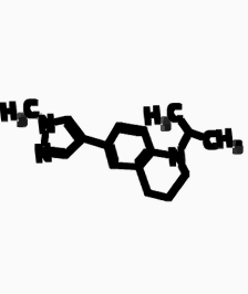 CC(C)N1CCCc2cc(-c3cnn(C)c3)ccc21